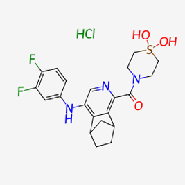 Cl.O=C(c1ncc(Nc2ccc(F)c(F)c2)c2c1C1CCC2C1)N1CCS(O)(O)CC1